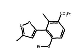 CCOC(=O)c1ccc(SCC)c(-c2cc(C)no2)c1C